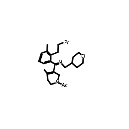 CC(=O)N1CCC(C)=C(/C(=N\CC2CCOCC2)c2cccc(C)c2CCC(C)C)C1